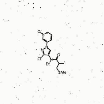 CCN(C(=O)C(C)CSC)c1cn(-c2ccc[n+]([O-])c2)nc1Cl